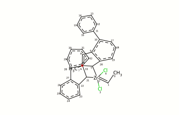 C[CH]=[Zr]([Cl])([Cl])([CH]1C(C)=Cc2c(-c3ccccc3)cccc21)[CH]1c2ccccc2-c2ccccc21